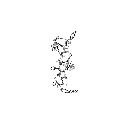 COC(=O)Cc1nc2c(c(=O)n(Cc3cc4cc(Cl)ccc4[nH]3)c(=O)n2C)n1C